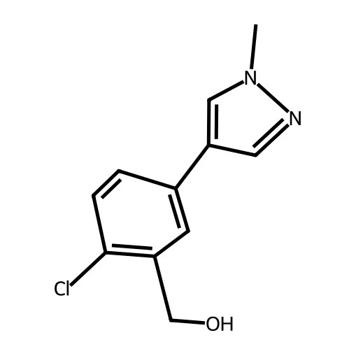 Cn1cc(-c2ccc(Cl)c(CO)c2)cn1